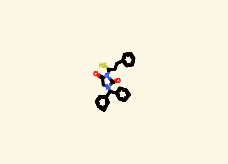 O=C1CN(C(c2ccccc2)c2ccccc2)C(=O)N1C(S)CCc1ccccc1